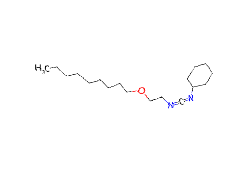 CCCCCCCCCOCCN=C=NC1CCCCC1